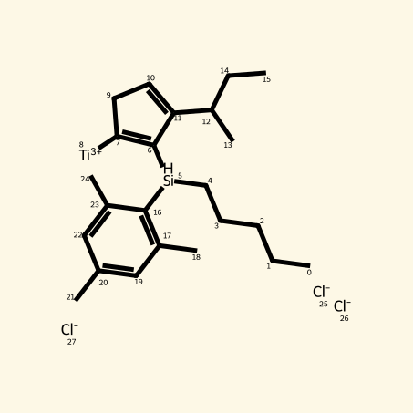 CCCCC[SiH](C1=[C]([Ti+3])CC=C1C(C)CC)c1c(C)cc(C)cc1C.[Cl-].[Cl-].[Cl-]